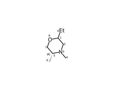 CCC1CN(C)[C@H](C)CO1